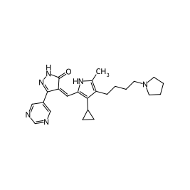 Cc1[nH]c(C=C2C(=O)NN=C2c2cncnc2)c(C2CC2)c1CCCCN1CCCC1